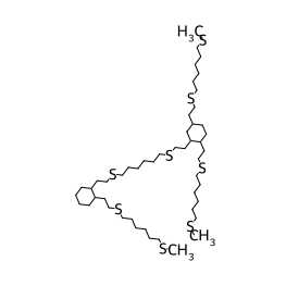 CSCCCCCCSCCC1CCC(CCSCCCCCCSC)C(CCSCCCCCCSCCC2CCCCC2CCSCCCCCCSC)C1